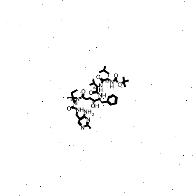 CC[C@@]1(C)[C@@H](C(=O)NCc2cnc(C)nc2N)N1C(=O)CC[C@H](O)[C@H](Cc1ccccc1)NC(=O)[C@@H](NC(=O)[C@H](CC(C)C)NC(=O)OC(C)(C)C)C(C)C